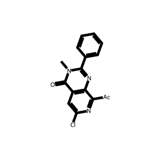 CC(=O)c1nc(Cl)cc2c(=O)n(C)c(-c3ccccc3)nc12